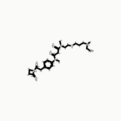 CC(C)CN(C)CCCOCCN(C)C(=O)CC(=O)N(C)c1ccc(CC(=O)N2CCC2=O)cc1